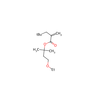 C=C(CC(C)(C)C)C(=O)OC(C)(C)CCOCC